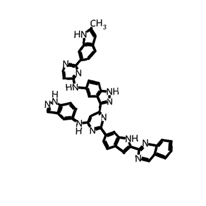 Cc1cc2ccc(-c3nccc(Nc4ccc5[nH]nc(-c6cc(Nc7ccc8[nH]ncc8c7)nc(-c7ccc8cc(-c9ncc%10ccccc%10n9)[nH]c8c7)n6)c5c4)n3)cc2[nH]1